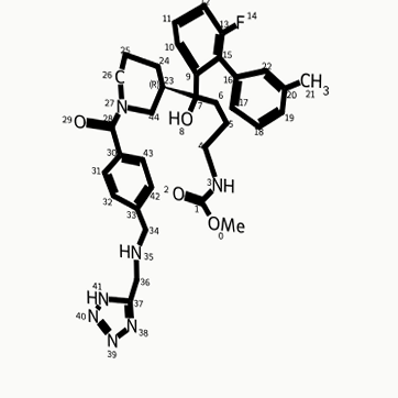 COC(=O)NCCCC(O)(c1cccc(F)c1-c1cccc(C)c1)[C@@H]1CCCN(C(=O)c2ccc(CNCc3nnn[nH]3)cc2)C1